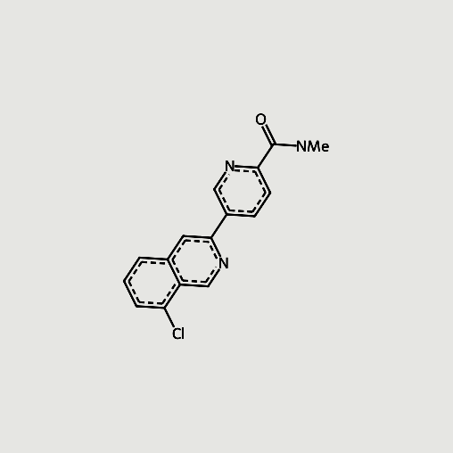 CNC(=O)c1ccc(-c2cc3cccc(Cl)c3cn2)cn1